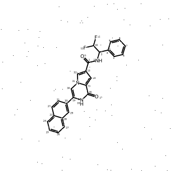 O=C(NC(c1ccccc1)C(F)F)c1cc2c(=O)[nH]c(-c3ccc4ccccc4c3)cn2c1